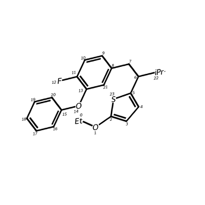 CCOc1ccc(C(Cc2ccc(F)c(Oc3ccccc3)c2)[C](C)C)s1